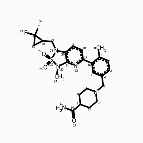 Cc1ccc(CN2CCC(C(N)=O)CC2)cc1-c1ccc2c(n1)N(C)S(=O)(=O)N2CC1CC1(F)F